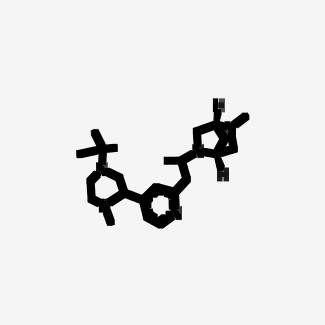 CC(Cc1cc(C2CN(C(C)(C)C)CCN2C)ccn1)N1C[C@H]2C[C@@H]1CN2C